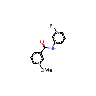 COc1cccc(C(=O)Nc2cccc(C(C)C)c2)c1